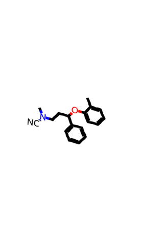 Cc1ccccc1OC(CCN(C)C#N)c1ccccc1